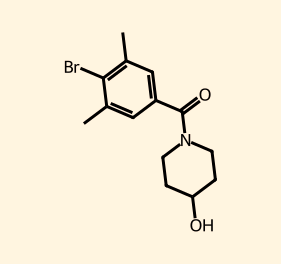 Cc1cc(C(=O)N2CCC(O)CC2)cc(C)c1Br